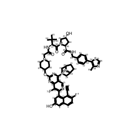 C#Cc1c(F)ccc2cc(O)cc(-c3ncc4c(N5CC6CCC(C5)N6)nc(OC5CCN(CC(=O)N[C@H](C(=O)N6C[C@H](O)C[C@H]6C(=O)NCc6ccc(-c7scnc7C)cc6)C(C)(C)C)CC5)nc4c3F)c12